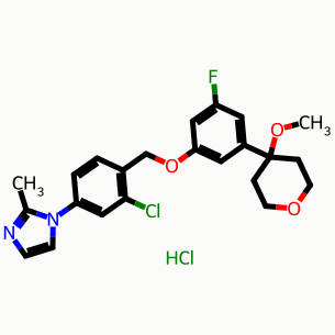 COC1(c2cc(F)cc(OCc3ccc(-n4ccnc4C)cc3Cl)c2)CCOCC1.Cl